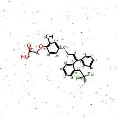 Cc1cc(SCC=C(c2ccccc2)c2ccccc2CC(F)(F)F)ccc1OCC(=O)O